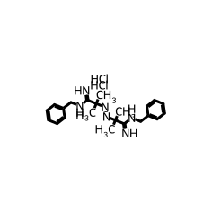 CC(C)(N=NC(C)(C)C(=N)NCc1ccccc1)C(=N)NCc1ccccc1.Cl.Cl